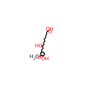 COc1cc(CCC(O)/C=C/CCCCCCC(=O)O)ccc1O